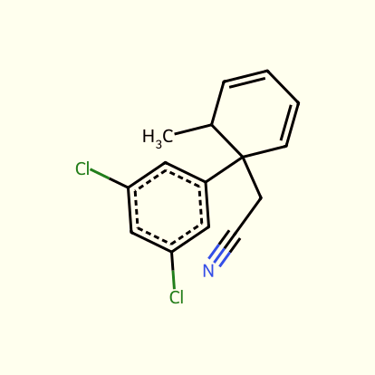 CC1C=CC=CC1(CC#N)c1cc(Cl)cc(Cl)c1